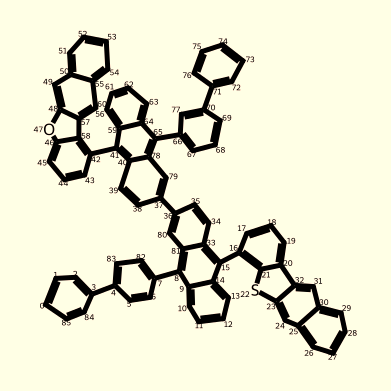 c1ccc(-c2ccc(-c3c4ccccc4c(-c4cccc5c4sc4cc6ccccc6cc45)c4ccc(-c5ccc6c(-c7cccc8oc9cc%10ccccc%10cc9c78)c7ccccc7c(-c7cccc(-c8ccccc8)c7)c6c5)cc34)cc2)cc1